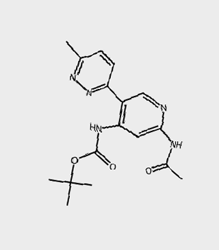 CC(=O)Nc1cc(NC(=O)OC(C)(C)C)c(-c2ccc(C)nn2)cn1